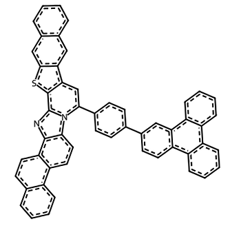 c1ccc2cc3c(cc2c1)sc1c3cc(-c2ccc(-c3ccc4c5ccccc5c5ccccc5c4c3)cc2)n2c3ccc4c5ccccc5ccc4c3nc12